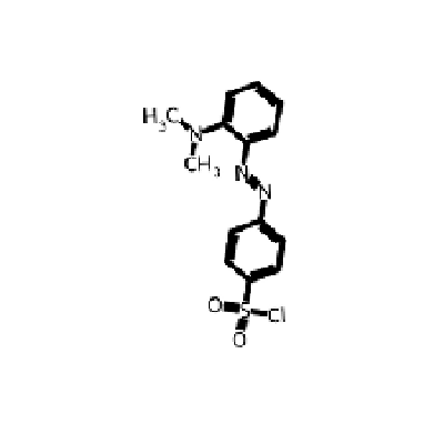 CN(C)c1ccccc1N=Nc1ccc(S(=O)(=O)Cl)cc1